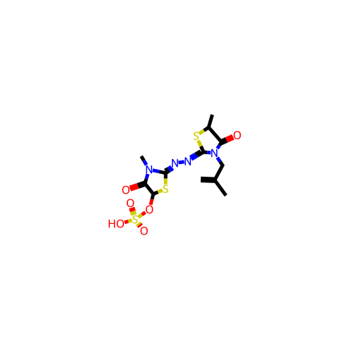 C=C(C)CN1C(=O)C(C)SC1=NN=C1SC(OS(=O)(=O)O)C(=O)N1C